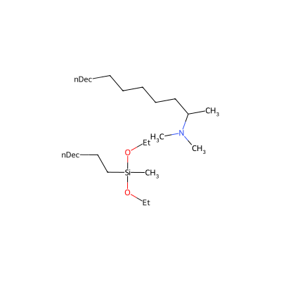 CCCCCCCCCCCCCCCC(C)N(C)C.CCCCCCCCCCCC[Si](C)(OCC)OCC